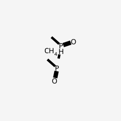 C.CP=O.C[PH](C)=O